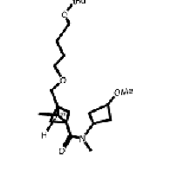 COC1CC(N(C)C(=O)C23CC(COCCCCOC(C)(C)C)(C2)[C@H]3C)C1